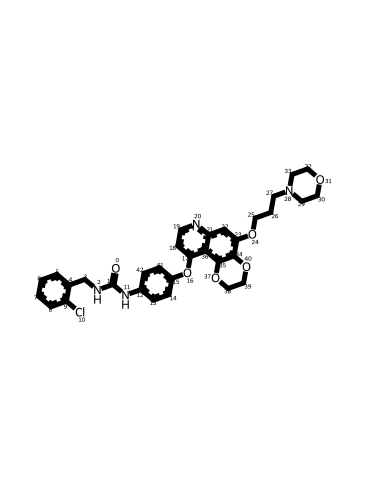 O=C(NCc1ccccc1Cl)Nc1ccc(Oc2ccnc3cc(OCCCN4CCOCC4)c4c(c23)OCCO4)cc1